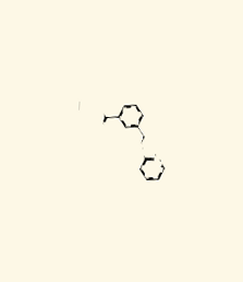 CC(=O)c1cccc(COc2ccccn2)c1